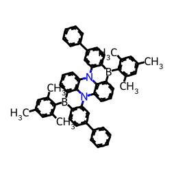 Cc1cc(C)c(B2c3ccc(-c4ccccc4)cc3N3c4cccc5c4N(c4cc(-c6ccccc6)ccc4B5c4c(C)cc(C)cc4C)c4cccc2c43)c(C)c1